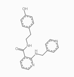 O=C(NCCc1ccc(O)cc1)c1cccnc1NCc1ccncc1